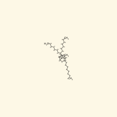 CCCCCCCCN1CC2CN(C(CCCCCCC)CCCCCCC)CC1C(C)(C)C2